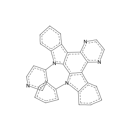 c1ccc(-n2c3ccccc3c3c4nccnc4c4c5ccccc5n(-c5ccncc5)c4c32)cc1